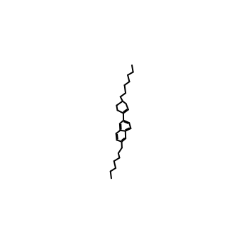 CCCCCCCc1ccc2cc(C3=CCC(CCCCCCC)CC3)ccc2c1